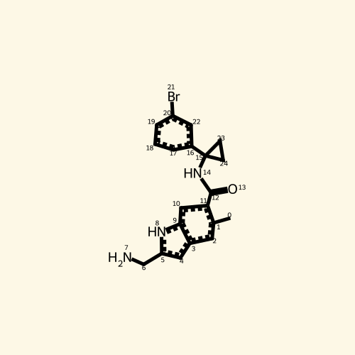 Cc1cc2cc(CN)[nH]c2cc1C(=O)NC1(c2cccc(Br)c2)CC1